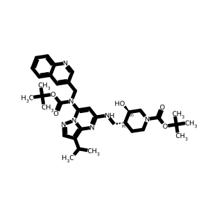 CC(C)c1cnn2c(N(Cc3cnc4ccccc4c3)C(=O)OC(C)(C)C)cc(NC[C@H]3CCN(C(=O)OC(C)(C)C)C[C@@H]3O)nc12